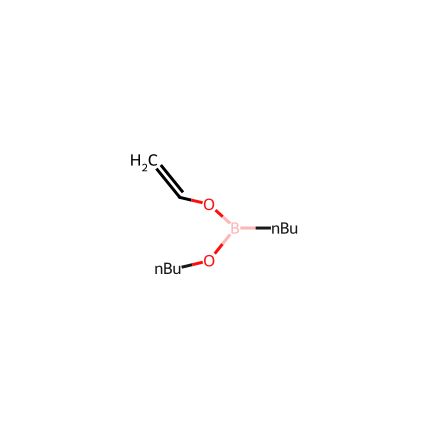 C=COB(CCCC)OCCCC